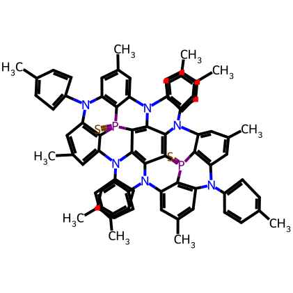 Cc1ccc(N2c3cc(C)cc4c3P3(=S)c5c2cc(C)cc5N(c2ccc(C)cc2)c2c5c6c(c(c23)N4c2ccc(C)cc2)N(c2ccc(C)cc2)c2cc(C)cc3c2P6(=S)c2c(cc(C)cc2N5c2ccc(C)cc2)N3c2ccc(C)cc2)cc1